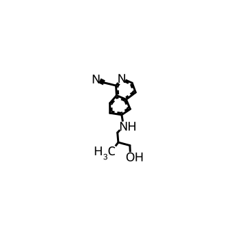 CC(CO)CNc1ccc2c(C#N)nccc2c1